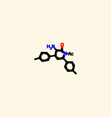 CC(=O)n1c(-c2ccc(C)cc2)cc(-c2ccc(C)cc2)c(N)c1=O